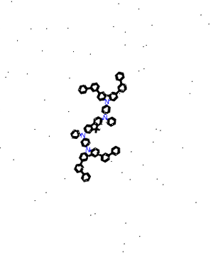 CC1(C)c2cc(N(c3ccccc3)c3ccc(-n4c5ccc(-c6cccc(-c7ccccc7)c6)cc5c5cc(-c6cccc(-c7ccccc7)c6)ccc54)cc3)ccc2-c2ccc(N(c3ccccc3)c3ccc(-n4c5ccc(-c6cccc(-c7ccccc7)c6)cc5c5cc(-c6cccc(-c7ccccc7)c6)ccc54)cc3)cc21